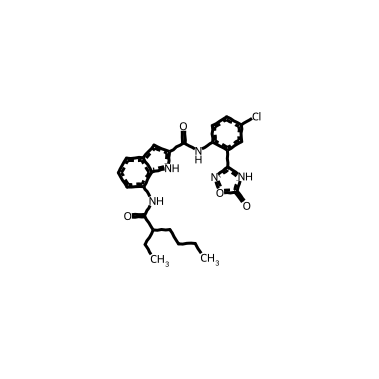 CCCCC(CC)C(=O)Nc1cccc2cc(C(=O)Nc3ccc(Cl)cc3-c3noc(=O)[nH]3)[nH]c12